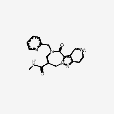 CNC(=O)C1CN(Cc2ccccn2)C(=O)c2c3c(nn2C1)CCNC3